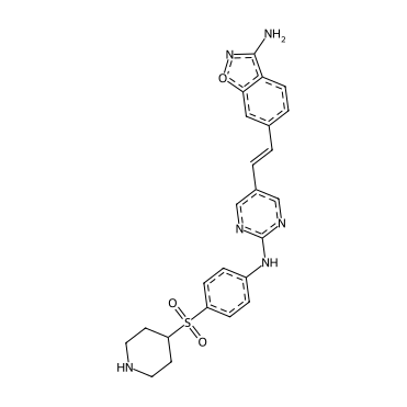 Nc1noc2cc(C=Cc3cnc(Nc4ccc(S(=O)(=O)C5CCNCC5)cc4)nc3)ccc12